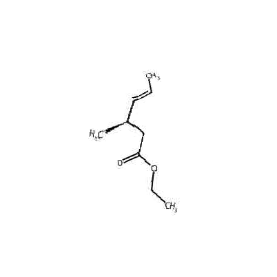 CC=C[C@H](C)CC(=O)OCC